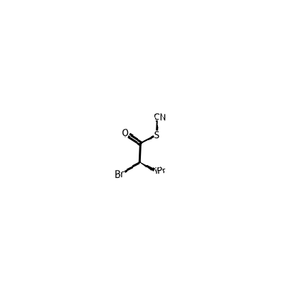 CC(C)[C@@H](Br)C(=O)SC#N